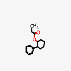 CCC(=O)OC1CCCCC1c1ccccc1